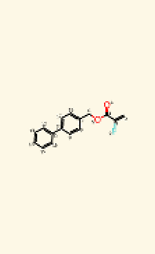 C=C(F)C(=O)OCc1ccc(-c2ccccc2)cc1